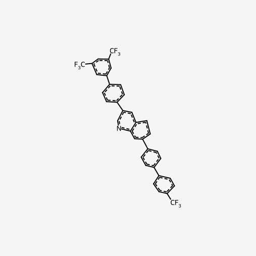 FC(F)(F)c1ccc(-c2ccc(-c3ccc4cc(-c5ccc(-c6cc(C(F)(F)F)cc(C(F)(F)F)c6)cc5)cnc4c3)cc2)cc1